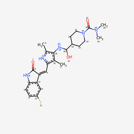 Cc1[nH]c(/C=C2\C(=O)Nc3ccc(F)cc32)c(C)c1NC(O)C1CCN(C(=O)N(C)C)CC1